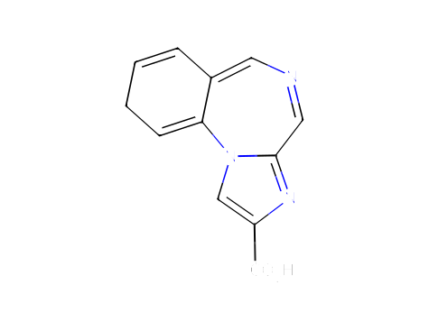 O=C(O)c1cn2c(n1)C=NC=C1C=CCC=C12